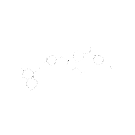 COc1ccc(C(=O)N2CCC(C(=O)Nc3ccc(OCc4cc(C)nc5ccccc45)cc3)[C@@H](C(=O)NO)C2)cc1